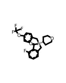 O=C1c2c(F)cccc2C[N+]1(Cc1ccc(OC(F)(F)F)cc1)C1CCOCC1